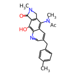 CC(=O)N(C)c1c2c(c(O)c3ncc(Cc4ccc(C)cc4)cc13)C(=O)N(C)C2